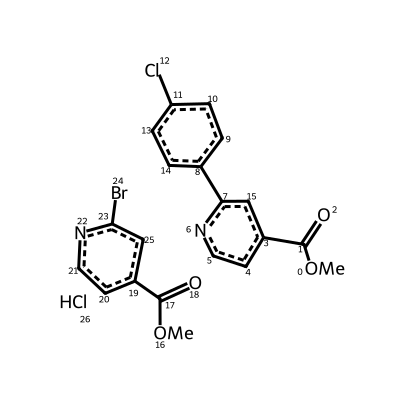 COC(=O)c1ccnc(-c2ccc(Cl)cc2)c1.COC(=O)c1ccnc(Br)c1.Cl